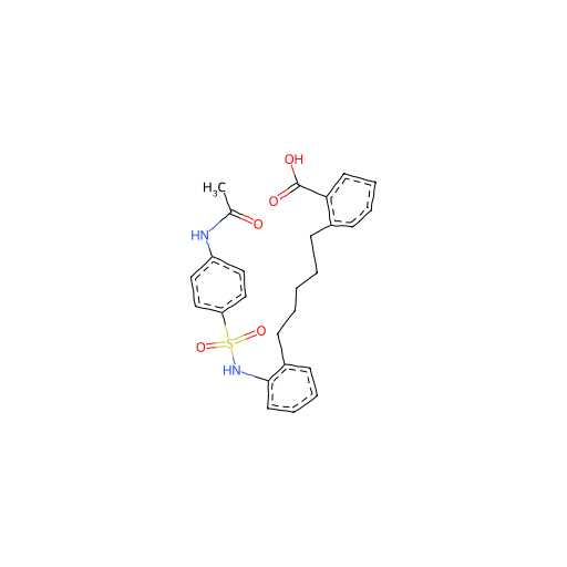 CC(=O)Nc1ccc(S(=O)(=O)Nc2ccccc2CCCCCc2ccccc2C(=O)O)cc1